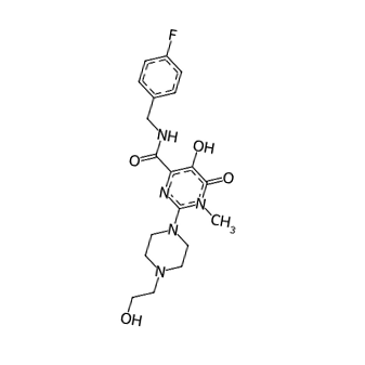 Cn1c(N2CCN(CCO)CC2)nc(C(=O)NCc2ccc(F)cc2)c(O)c1=O